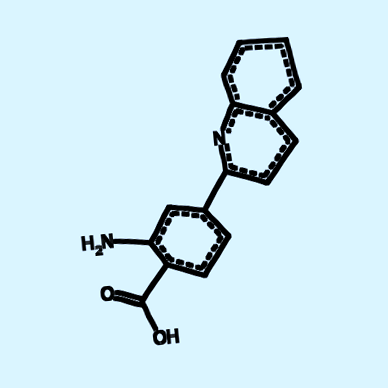 Nc1cc(-c2ccc3ccccc3n2)ccc1C(=O)O